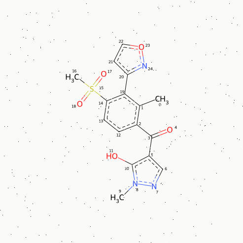 Cc1c(C(=O)c2cnn(C)c2O)ccc(S(C)(=O)=O)c1-c1ccon1